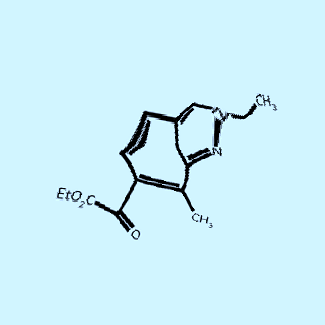 CCOC(=O)C(=O)c1ccc2cn(C)nc2c1C